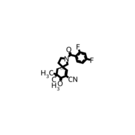 CC1(C)C[C@@]2(C=C(C#N)C1=O)CCN(C(=O)c1ccc(F)cc1F)C2